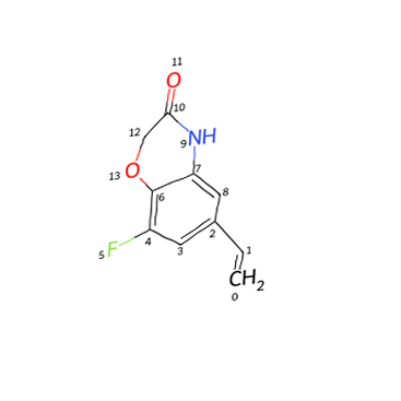 C=Cc1cc(F)c2c(c1)NC(=O)CO2